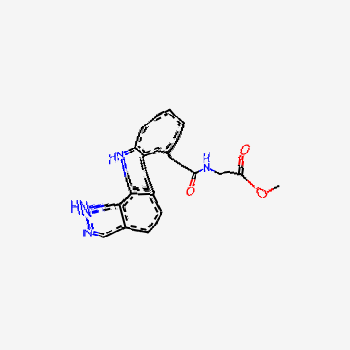 COC(=O)CNC(=O)c1cccc2[nH]c3c(ccc4cn[nH]c43)c12